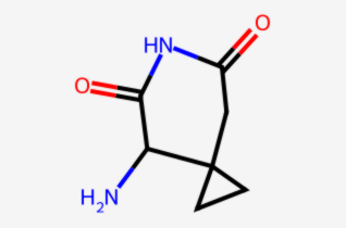 NC1C(=O)NC(=O)CC12CC2